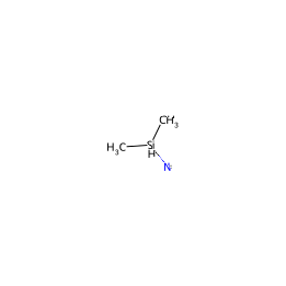 C[SiH](C)[N]